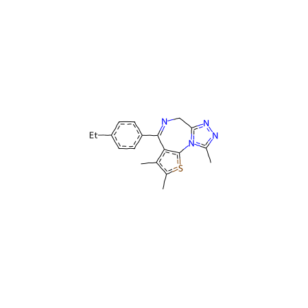 CCc1ccc(C2=NCc3nnc(C)n3-c3sc(C)c(C)c32)cc1